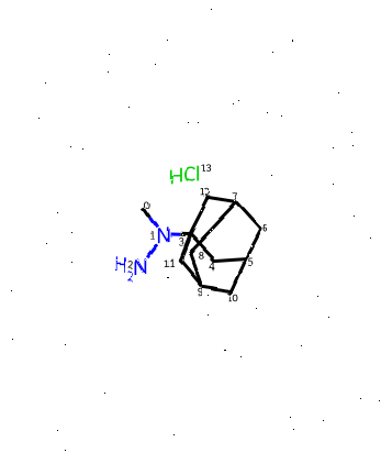 CN(N)C12CC3CC(CC(C3)C1)C2.Cl